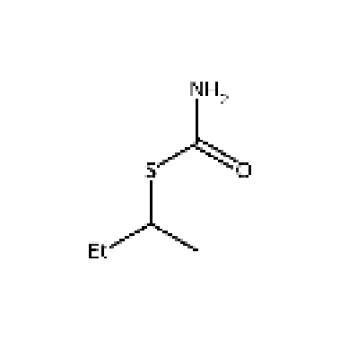 CCC(C)SC(N)=O